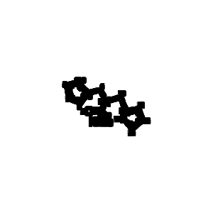 CNC(=O)N(Cc1cccs1)Cc1cccs1